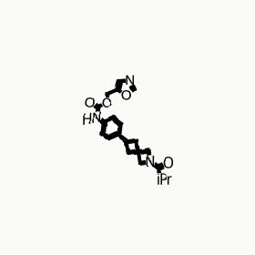 CC(C)C(=O)N1CC2(CC(c3ccc(NC(=O)OCc4cnco4)cc3)C2)C1